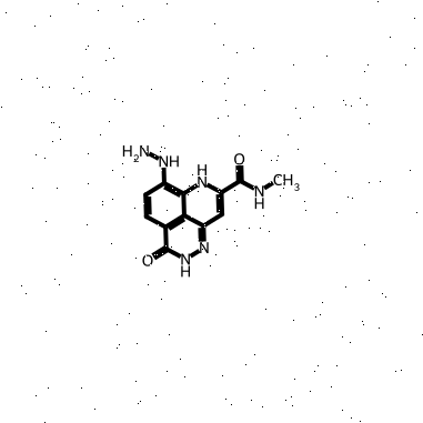 CNC(=O)C1=Cc2n[nH]c(=O)c3ccc(NN)c(c23)N1